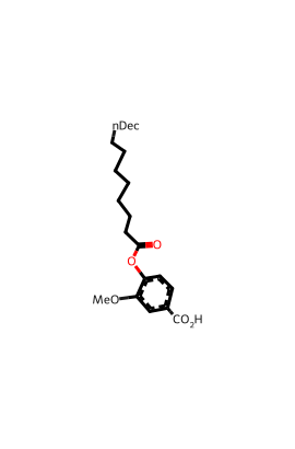 CCCCCCCCCCCCCCCCCC(=O)Oc1ccc(C(=O)O)cc1OC